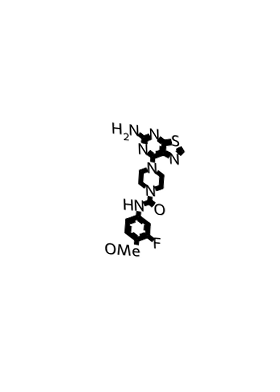 COc1ccc(NC(=O)N2CCN(c3nc(N)nc4scnc34)CC2)cc1F